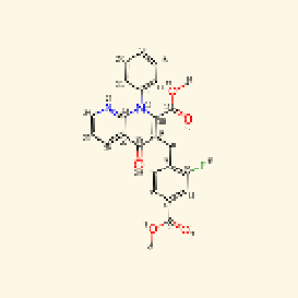 COC(=O)c1ccc(Cc2c(C(=O)OC)n(-c3ccccc3)c3ncccc3c2=O)c(F)c1